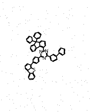 C1=CCC(C2(c3ccccc3)c3ccccc3-c3c(-c4nc(-c5ccc(-c6cccc7c6sc6ccccc67)cc5)nc(-c5cccc(-c6ccccc6)c5)n4)cccc32)C=C1